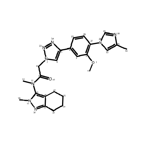 COc1cc(-c2cn(CC(=O)N(C)c3c4c(nn3C)CCCC4)nn2)ccc1-n1cnc(C)c1